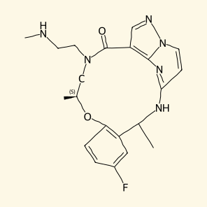 CNCCN1C[C@H](C)Oc2ccc(F)cc2C(C)Nc2ccn3ncc(c3n2)C1=O